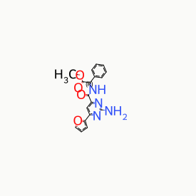 COC(=O)[C@H](NC(=O)c1cc(-c2ccco2)nc(N)n1)c1ccccc1